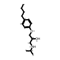 CCCCc1ccc(OCC(O)CNC(C)C)cc1